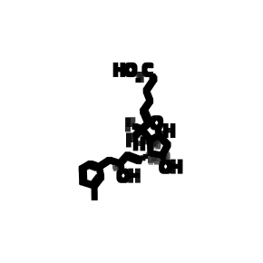 Cc1cccc(C[C@H](O)C=C[C@@H]2[C@@H]3[C@H](C[C@H]2O)OC(=CCCCC(=O)O)C3(F)F)c1